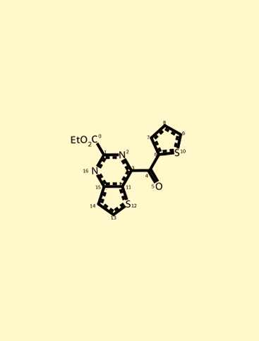 CCOC(=O)c1nc(C(=O)c2cccs2)c2sccc2n1